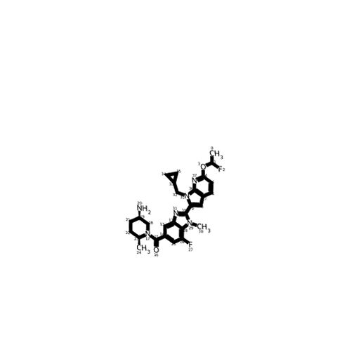 CC(F)Oc1ccc2cc(-c3nc4cc(C(=O)N5C[C@H](N)CC[C@@H]5C)cc(F)c4n3C)n(CC3CC3)c2n1